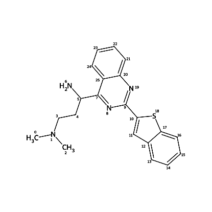 CN(C)CCC(N)c1nc(-c2cc3ccccc3s2)nc2ccccc12